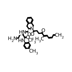 C=C/C=C\C=C(/C)C(=O)CCC(=O)N1Cc2ccccc2C[C@H]1C(=O)N[C@@H](CCN)C(=O)Nc1ccc(C)cc1C(F)(F)F